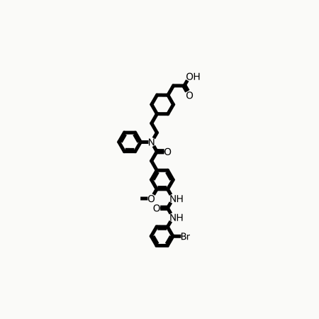 COc1cc(CC(=O)N(CCC2CCC(CC(=O)O)CC2)c2ccccc2)ccc1NC(=O)Nc1ccccc1Br